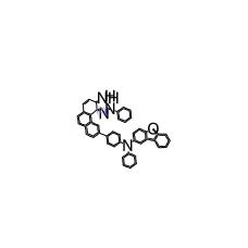 N=C1C=Cc2ccc3ccc(-c4ccc(N(c5ccccc5)c5ccc6oc7ccccc7c6c5)cc4)cc3c2/C1=N/Nc1ccccc1